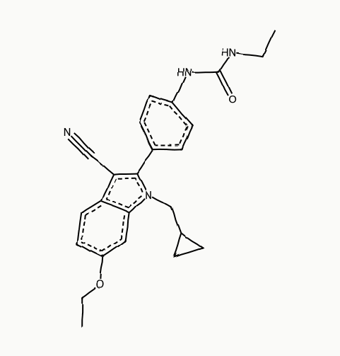 CCNC(=O)Nc1ccc(-c2c(C#N)c3ccc(OCC)cc3n2CC2CC2)cc1